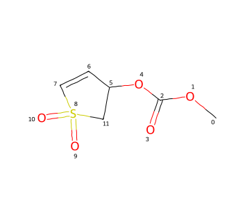 COC(=O)OC1C=CS(=O)(=O)C1